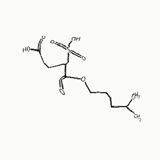 CC(C)CCCOC(=O)C(CC(=O)O)S(=O)(=O)O